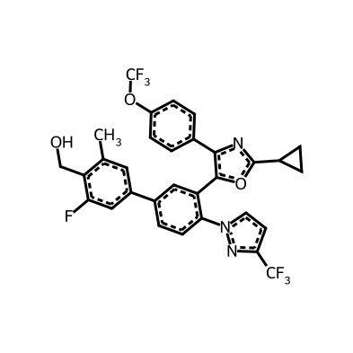 Cc1cc(-c2ccc(-n3ccc(C(F)(F)F)n3)c(-c3oc(C4CC4)nc3-c3ccc(OC(F)(F)F)cc3)c2)cc(F)c1CO